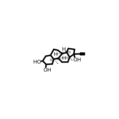 C#CC1(O)CC[C@H]2[C@@H]3CCC4CC(O)C(O)C[C@]4(C)[C@@H]3CC[C@@]21C